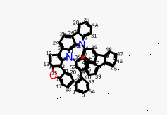 c1ccc(-c2cccc(-n3c4c(ccc5oc6ccccc6c54)c4ccc5c6ccccc6n(-c6cc7c8c(cccc8c6)-c6ccccc6-7)c5c43)c2)cc1